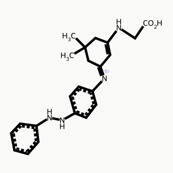 CC1(C)CC(NCC(=O)O)=C/C(=N/c2ccc(NNc3ccccc3)cc2)C1